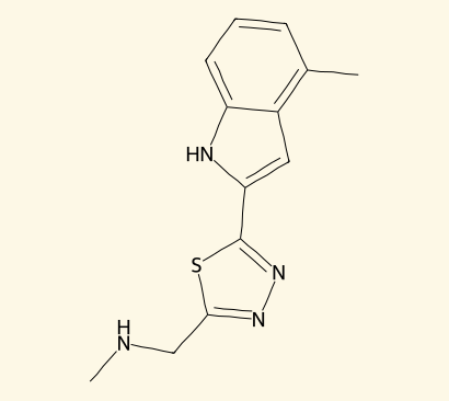 CNCc1nnc(-c2cc3c(C)cccc3[nH]2)s1